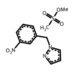 COS(C)(=O)=O.O=[N+]([O-])c1cccc(Cn2cccn2)c1